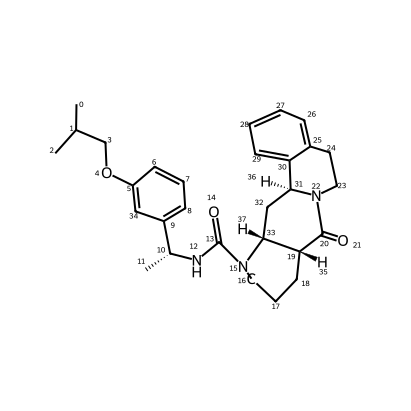 CC(C)COc1cccc([C@@H](C)NC(=O)N2CCC[C@H]3C(=O)N4CCc5ccccc5[C@@H]4C[C@H]32)c1